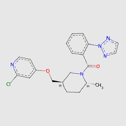 C[C@@H]1CC[C@@H](COc2ccnc(Cl)c2)CN1C(=O)c1ccccc1-n1nccn1